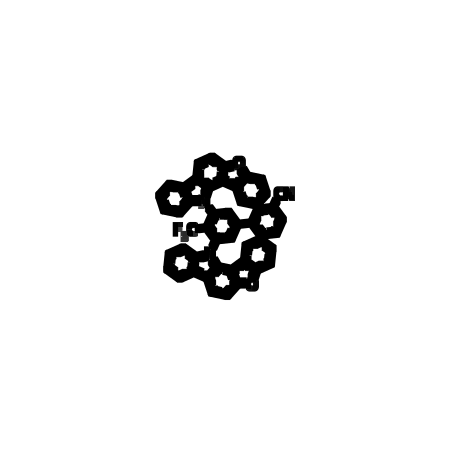 N#Cc1cccc(-c2cc(-n3c4ccccc4c4ccc5oc6ccccc6c5c43)c(C(F)(F)F)c(-n3c4ccccc4c4ccc5oc6ccccc6c5c43)c2)c1